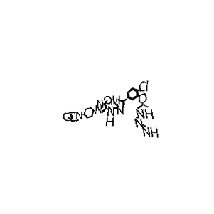 C[C@@H](CN/C=N\C=N)Oc1cc(-c2cnc(Nc3cn([C@H]4CC[C@H](N5CCOCC5)CC4)nc3O)nc2)ccc1Cl